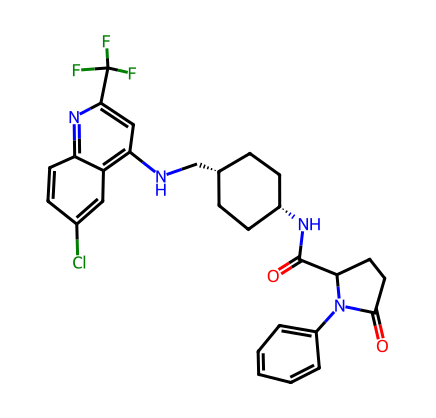 O=C(N[C@H]1CC[C@@H](CNc2cc(C(F)(F)F)nc3ccc(Cl)cc23)CC1)C1CCC(=O)N1c1ccccc1